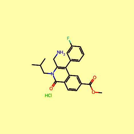 COC(=O)c1ccc2c(=O)n(CC(C)C)c(CN)c(-c3cccc(F)c3)c2c1.Cl